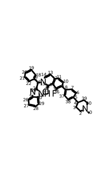 CN1CCC(c2ccc(-c3ccc4ccn(C(c5ccccc5)c5nc6ccccc6[nH]5)c(=O)c4c3F)cc2)CC1